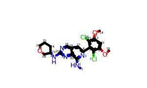 CNc1nc(-c2c(Cl)c(OC)cc(OC)c2Cl)cc2cnc(NC3CCCOC3)nc12